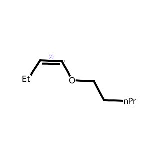 CC/C=[C]\OCCCCC